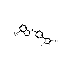 Cc1cccc2c1CC[C@H]2Oc1ccc(-c2cc(O)n[s+]2[O-])cc1